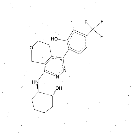 Oc1cc(C(F)(F)F)ccc1-c1nnc(N[C@@H]2CCCC[C@H]2O)c2c1CCOC2